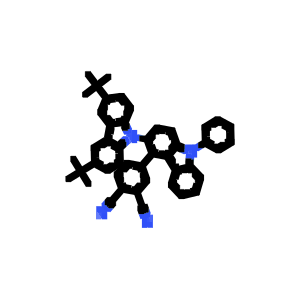 CC(C)(C)c1ccc2c(c1)c1cc(C(C)(C)C)ccc1n2-c1ccc2c(c1-c1ccc(C#N)c(C#N)c1)c1ccccc1n2-c1ccccc1